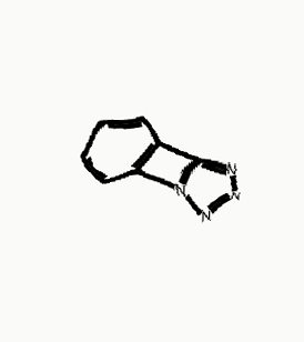 [c]1cccc2c1-n1nnnc1-2